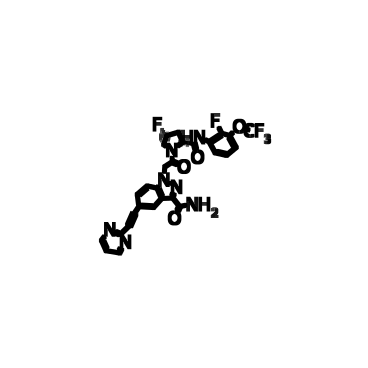 NC(=O)c1nn(CC(=O)N2C[C@H](F)C[C@H]2C(=O)Nc2cccc(OC(F)(F)F)c2F)c2ccc(C#Cc3ncccn3)cc12